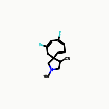 CC(C)(C)N1CC(C#N)C2(/C=C/C=C(F)\C=C(\F)C2)C1